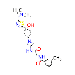 Cc1cccc(C(=O)NCC(=O)NC2CN([C@H]3CC[C@@](O)(c4cnc(CN(C)C)s4)CC3)C2)c1